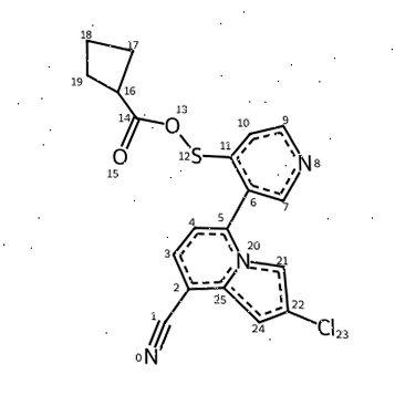 N#Cc1ccc(-c2cnccc2SOC(=O)C2CCC2)n2cc(Cl)cc12